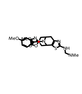 CNCNc1nc2c(s1)C1CN(C(=O)OC)CC(C2)N1c1nc2cc(OC)ccc2o1